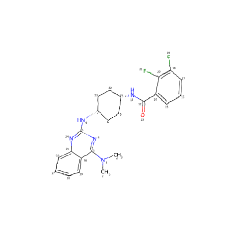 CN(C)c1nc(N[C@H]2CC[C@@H](NC(=O)c3cccc(F)c3F)CC2)nc2ccccc12